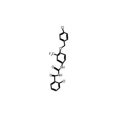 O=C(NC(=O)c1ccccc1Cl)Nc1ccc(OCc2ccc(Cl)cc2)c(C(F)(F)F)c1